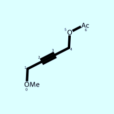 COCC#CCOC(C)=O